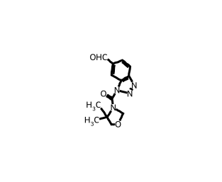 CC1(C)COCN1C(=O)n1nnc2ccc(C=O)cc21